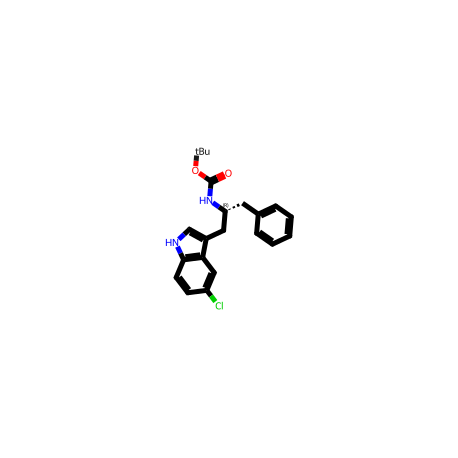 CC(C)(C)OC(=O)N[C@H](Cc1ccccc1)Cc1c[nH]c2ccc(Cl)cc12